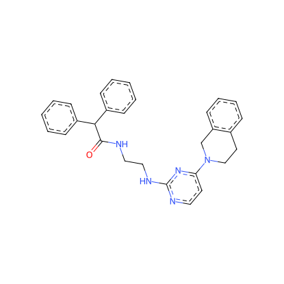 O=C(NCCNc1nccc(N2CCc3ccccc3C2)n1)C(c1ccccc1)c1ccccc1